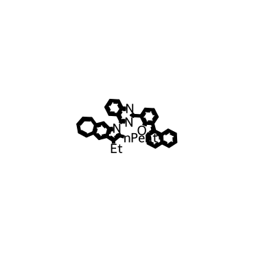 CCCCCc1c(CC)c2cc3c(cc2n1-c1nc(-c2cccc4c2oc2ccc5ccccc5c24)nc2ccccc12)C=C=CC=C3